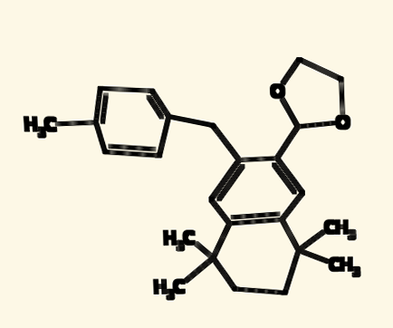 Cc1ccc(Cc2cc3c(cc2C2OCCO2)C(C)(C)CCC3(C)C)cc1